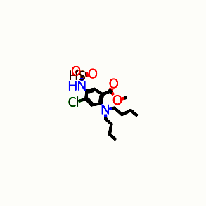 CCCCN(CCCC)c1cc(Cl)c(N[SH](=O)=O)cc1C(=O)OC